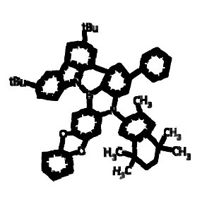 Cc1cc2c(cc1N1c3cc4c(cc3B3c5c(cc(-c6ccccc6)cc51)-c1cc(C(C)(C)C)cc5c6cc(C(C)(C)C)ccc6n3c15)Oc1ccccc1O4)C(C)(C)CCC2(C)C